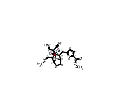 C=C=CC1/C(=C(/C#N)C=N)C(Cc2ccc(C(=O)OC)o2)C2CCC1N2C(=O)O